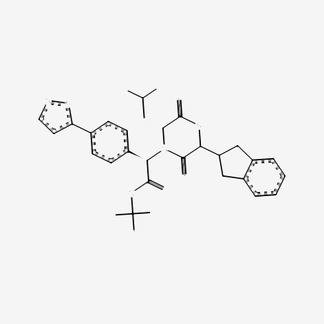 CC(C)C[C@@H]1C(=O)NC(C2Cc3ccccc3C2)C(=O)N1[C@@H](C(=O)NC(C)(C)C)c1ccc(-c2cc[nH]n2)cc1